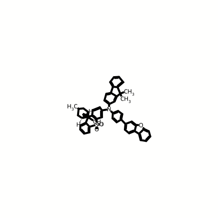 CC1C[C@H]2CC(C)C[C@H](C1)C21c2ccccc2S(=O)(=O)c2cc(N(c3ccc(-c4ccc5c(c4)oc4ccccc45)cc3)c3ccc4c(c3)C(C)(C)c3ccccc3-4)ccc21